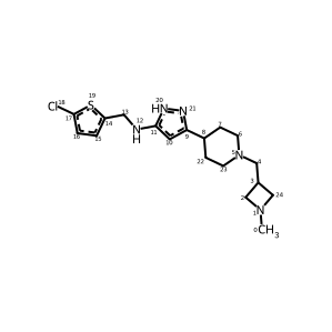 CN1CC(CN2CCC(c3cc(NCc4ccc(Cl)s4)[nH]n3)CC2)C1